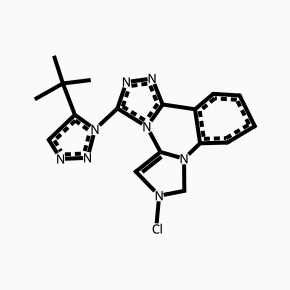 CC(C)(C)c1cnnn1-c1nnc2n1C1=CN(Cl)CN1c1ccccc1-2